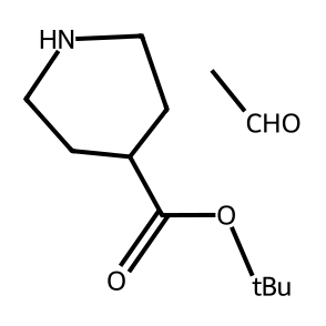 CC(C)(C)OC(=O)C1CCNCC1.CC=O